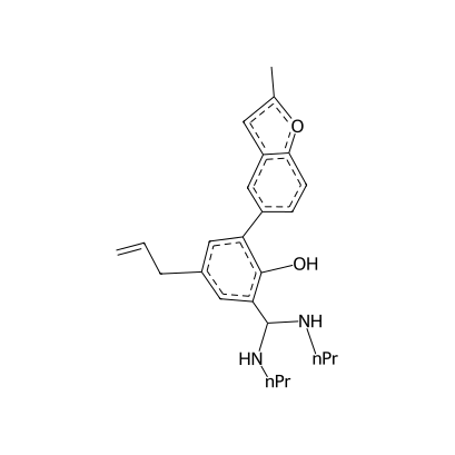 C=CCc1cc(-c2ccc3oc(C)cc3c2)c(O)c(C(NCCC)NCCC)c1